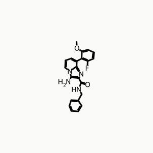 COc1cccc(F)c1-c1cccn2c(N)c(C(=O)NCc3ccccc3)nc12